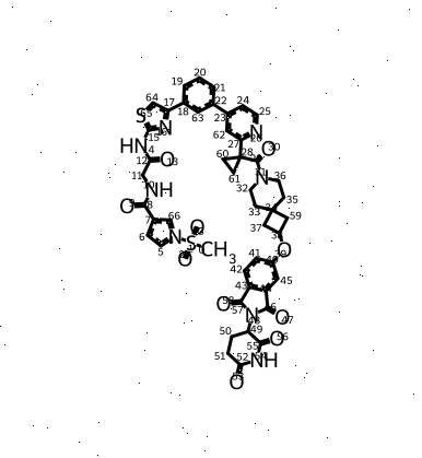 CS(=O)(=O)n1ccc(C(=O)NCC(=O)Nc2nc(-c3cccc(-c4ccnc(C5(C(=O)N6CCC7(CC6)CC(Oc6ccc8c(c6)C(=O)N(C6CCC(=O)NC6=O)C8=O)C7)CC5)c4)c3)cs2)c1